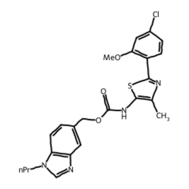 CCCn1cnc2cc(COC(=O)Nc3sc(-c4ccc(Cl)cc4OC)nc3C)ccc21